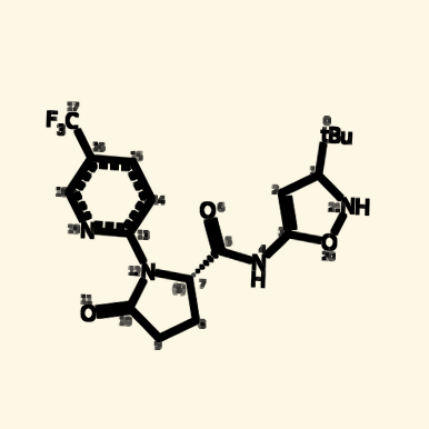 CC(C)(C)C1C=C(NC(=O)[C@@H]2CCC(=O)N2c2ccc(C(F)(F)F)cn2)ON1